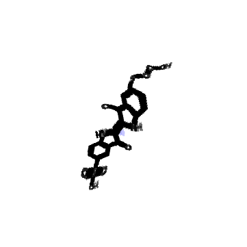 O=C1/C(=C2\Nc3ccc(S(=O)(=O)O)cc3C2=O)Nc2ccc(SOOO)cc21